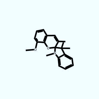 COc1cccc2c1OC1(C(C)=C2)N(C)c2ccccc2C1(C)C